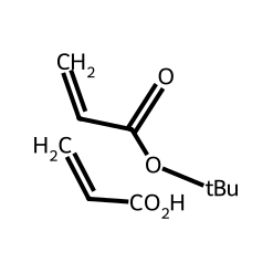 C=CC(=O)O.C=CC(=O)OC(C)(C)C